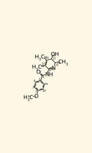 COc1ccc(C(=O)NC2=NC(C)C(O)C(C)=C2C)cc1